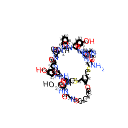 NC(=O)[C@@H]1CSCc2cc3cc(c2)OCCCCCCO/N=C/C(=O)NC(CC(=O)O)C(=O)N[C@@H](CSC3)C(=O)N[C@@H](Cc2ccc(O)cc2)C(=O)N2CCC[C@H]2C(=O)N[C@@H](CC(=O)O)C(=O)N[C@@H](Cc2ccccc2)C(=O)N[C@@H](Cc2ccc(O)cc2)C(=O)N[C@@H](Cc2cnc[nH]2)C(=O)N1